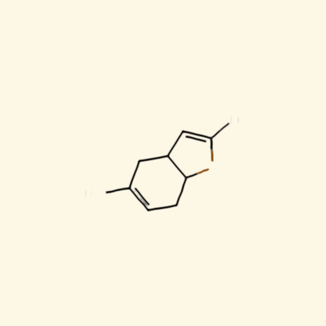 CCC1=CC2CC(C)=CCC2S1